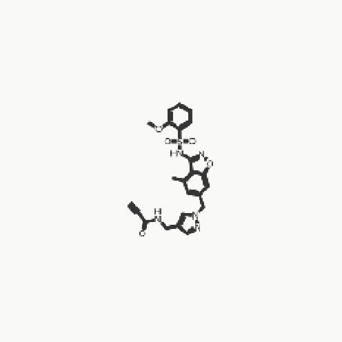 C#CC(=O)NCc1cnn(Cc2cc(C)c3c(NS(=O)(=O)c4ccccc4OC)noc3c2)c1